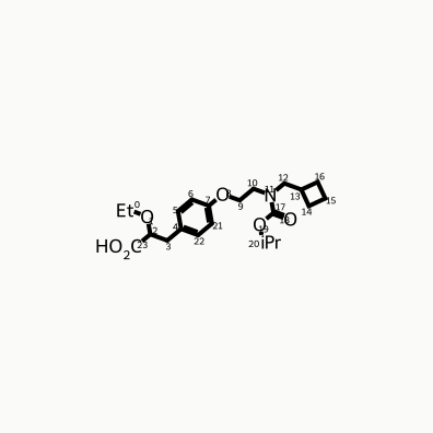 CCOC(Cc1ccc(OCCN(CC2CCC2)C(=O)OC(C)C)cc1)C(=O)O